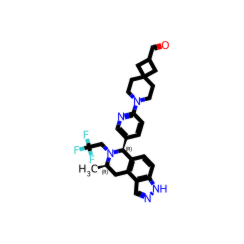 C[C@@H]1Cc2c(ccc3[nH]ncc23)[C@H](c2ccc(N3CCC4(CC3)CC(C=O)C4)nc2)N1CC(F)(F)F